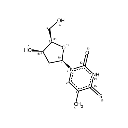 Cc1cn([C@H]2C[C@@H](O)[C@@H](CO)O2)c(=O)[nH]c1=S